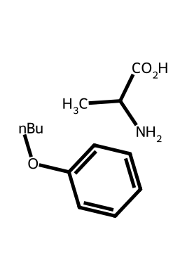 CC(N)C(=O)O.CCCCOc1ccccc1